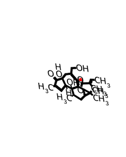 C/C=C(\C)C(=O)O[C@@]12C[C@@H](C)[C@@]3(O)[C@@H](C=C(CO)C[C@]4(O)C(=O)C(C)=C[C@@H]34)C1C2(C)C